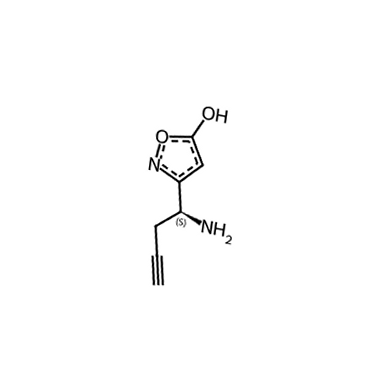 C#CC[C@H](N)c1cc(O)on1